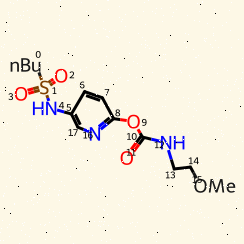 CCCCS(=O)(=O)Nc1ccc(OC(=O)NCCOC)nc1